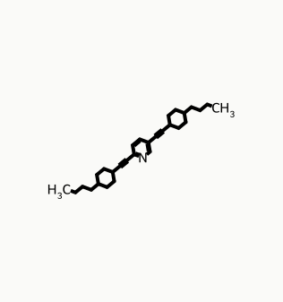 CCCCC1CCC(C#Cc2ccc(C#CC3CCC(CCCC)CC3)nc2)CC1